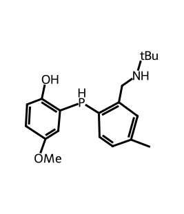 COc1ccc(O)c(Pc2ccc(C)cc2CNC(C)(C)C)c1